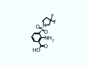 Nc1c(C(=O)O)cccc1S(=O)(=O)N1CCC(F)(F)C1